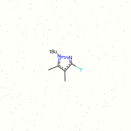 Cc1c(F)nn(C(C)(C)C)c1C